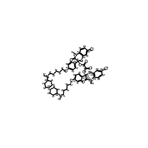 CN1C(=O)C(OC(=O)C(=O)OC2(c3ccc(OCCCCCN(C)C4CCCCC4)cc3)Sc3cc(Cl)ccc3N(C)C2=O)(c2ccc(OCCCCCN(C)C3CCCCC3)cc2)Sc2cc(Cl)ccc21